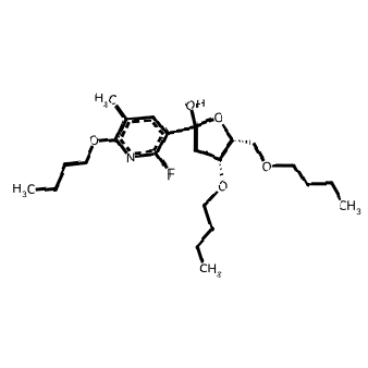 CCCCOC[C@H]1OC(O)(c2cc(C)c(OCCCC)nc2F)C[C@H]1OCCCC